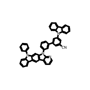 N#Cc1cc(-c2cccc(-n3c4cc5c(cc4c4cccnc43)c3ccccc3n5-c3ccccc3)c2)cc(-n2c3ccccc3c3ccccc32)c1